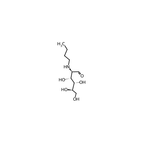 CCCCN[C@@H](C=O)[C@@H](O)[C@H](O)[C@H](O)CO